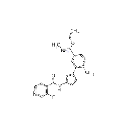 C=CO/C(=N\C)c1ccc(C)c(-c2ccc(NC(=O)c3ccncc3F)s2)c1